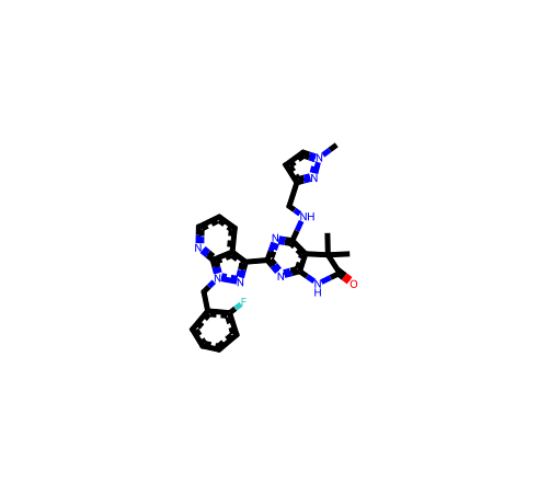 Cn1ccc(CNc2nc(-c3nn(Cc4ccccc4F)c4ncccc34)nc3c2C(C)(C)C(=O)N3)n1